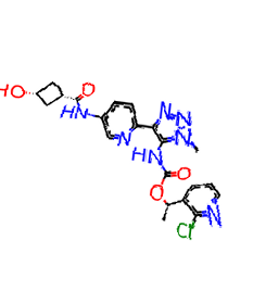 C[C@@H](OC(=O)Nc1c(-c2ccc(NC(=O)[C@H]3C[C@@H](O)C3)cn2)nnn1C)c1cccnc1Cl